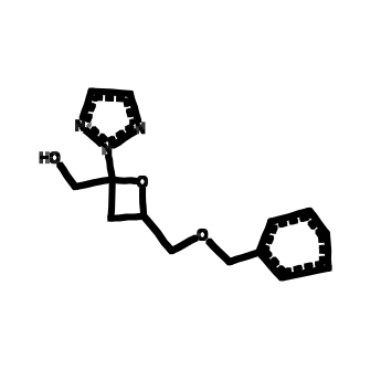 OCC1(n2nccn2)CC(COCc2ccccc2)O1